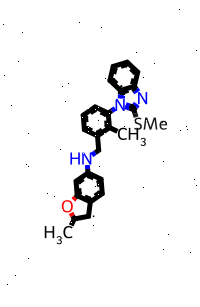 CSc1nc2ccccc2n1-c1cccc(CNc2ccc3c(c2)OC(C)[CH]3)c1C